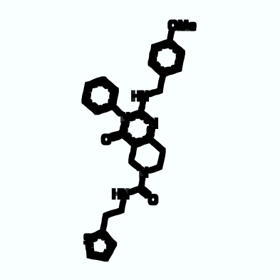 COc1ccc(CNc2nc3c(c(=O)n2-c2ccccc2)CN(C(=O)NCCc2cccs2)CC3)cc1